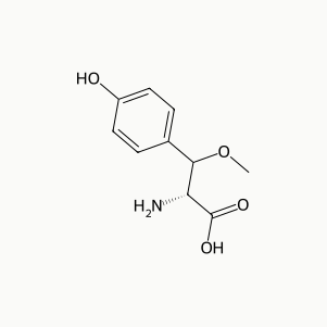 COC(c1ccc(O)cc1)[C@@H](N)C(=O)O